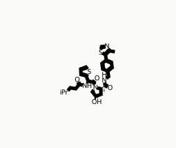 Cc1ncsc1-c1ccc(CNC(=O)[C@@H]2C[C@@H](O)CN2C(=O)[C@@H](NC(=O)CCC(C)C)c2cccs2)cc1